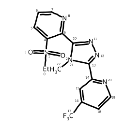 CCS(=O)(=O)c1cccnc1-c1nnc(-c2cc(C(F)(F)F)ccn2)n1C